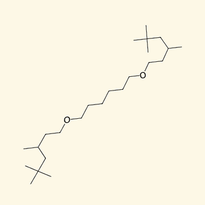 CC(CCOCCCCCCOCCC(C)CC(C)(C)C)CC(C)(C)C